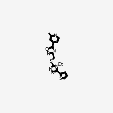 CCn1c(SCc2noc(-c3ccnc(C)c3)n2)nnc1-c1cccs1